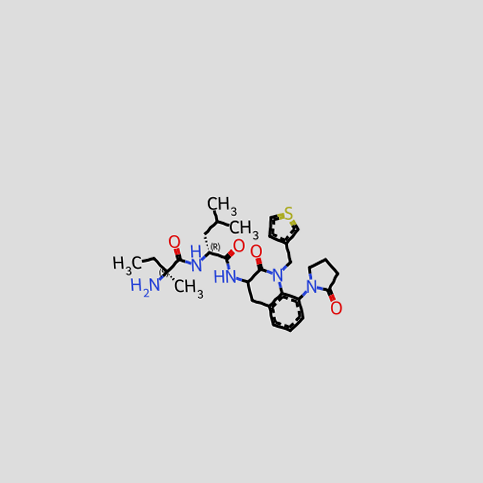 CC[C@](C)(N)C(=O)N[C@H](CC(C)C)C(=O)NC1Cc2cccc(N3CCCC3=O)c2N(Cc2ccsc2)C1=O